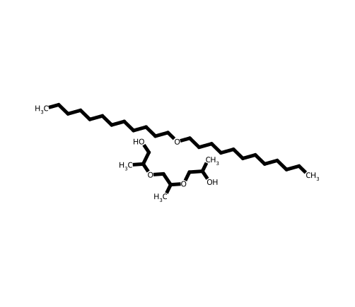 CC(O)COC(C)COC(C)CO.CCCCCCCCCCCCOCCCCCCCCCCCC